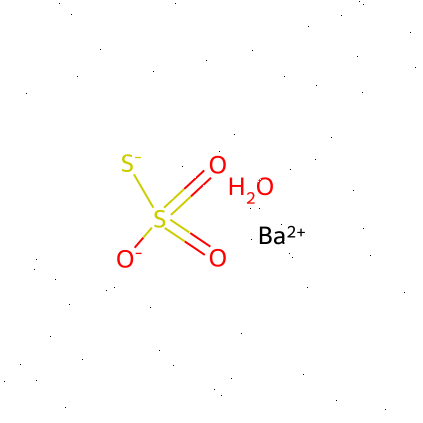 O.O=S(=O)([O-])[S-].[Ba+2]